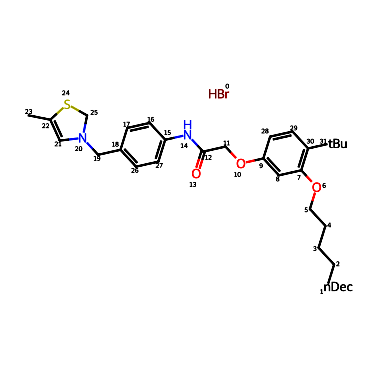 Br.CCCCCCCCCCCCCCOc1cc(OCC(=O)Nc2ccc(CN3C=C(C)SC3)cc2)ccc1C(C)(C)C